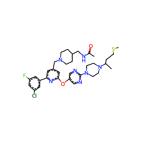 CSCCC(C)N1CCN(c2ncc(Oc3cc(CN4CCC(CNC(C)=O)CC4)cc(-c4cc(F)cc(Cl)c4)n3)cn2)CC1